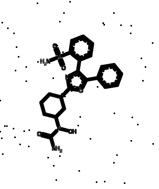 NC(=O)N(O)C1CCCC(c2nc(-c3ccccc3S(N)(=O)=O)c(-c3ccccc3)o2)C1